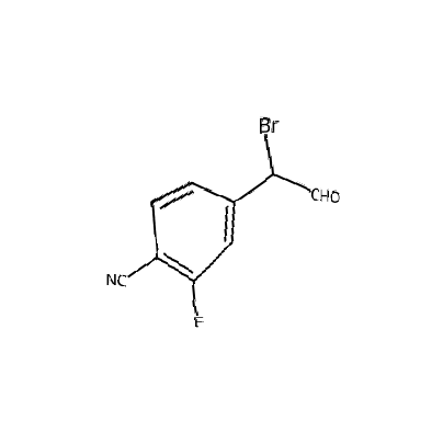 N#Cc1ccc(C(Br)C=O)cc1F